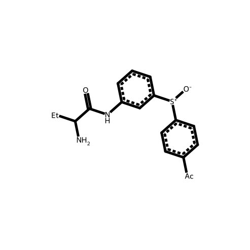 CCC(N)C(=O)Nc1cccc([S+]([O-])c2ccc(C(C)=O)cc2)c1